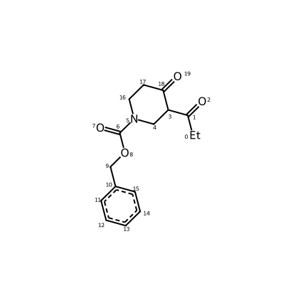 CCC(=O)C1CN(C(=O)OCc2ccccc2)CCC1=O